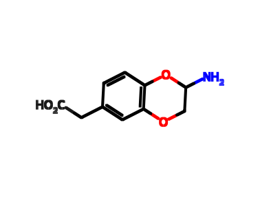 NC1COc2cc(CC(=O)O)ccc2O1